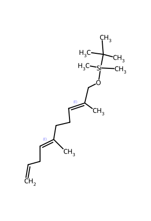 C=CC/C=C(\C)CC/C=C(\C)CO[Si](C)(C)C(C)(C)C